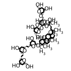 C[C@H](CC[C@@H](O[C@@H]1O[C@H](CO[C@H]2C[C@@H](O)C[C@@H](CO)O2)C[C@H](O)C1O[C@H]1C[C@@H](O)C[C@@H](CO)O1)C(C)(C)O)[C@H]1CC[C@@]2(C)[C@@H]3CC=C4C(CC[C@H](O[C@H]5C[C@@H](O)C[C@@H](CC[C@H]6C[C@@H](O)C[C@@H](CC[C@H]7C[C@@H](O)C[C@@H](CO)O7)O6)O5)C4(C)C)[C@]3(C)CC[C@]12C